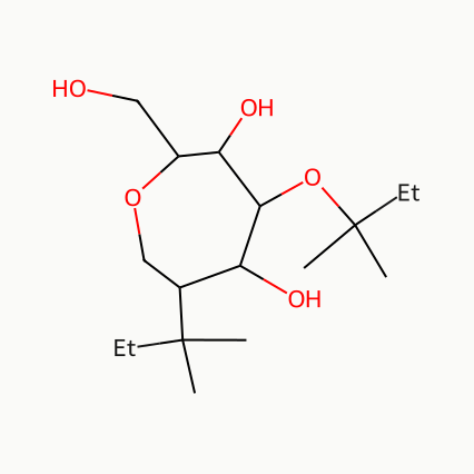 CCC(C)(C)OC1C(O)C(CO)OCC(C(C)(C)CC)C1O